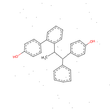 CC(c1ccccc1-c1ccc(O)cc1)C(c1ccccc1)c1ccc(O)cc1